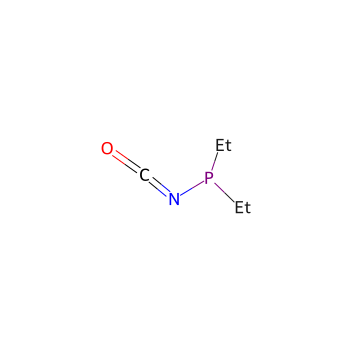 CCP(CC)N=C=O